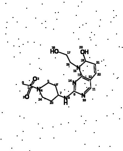 CS(=O)(=O)N1CCC(Nc2ncc3c(n2)N(CCO)C(O)C=C3)CC1